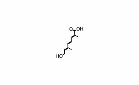 CC(/C=C/C=C(\C)C(=O)O)=C\CO